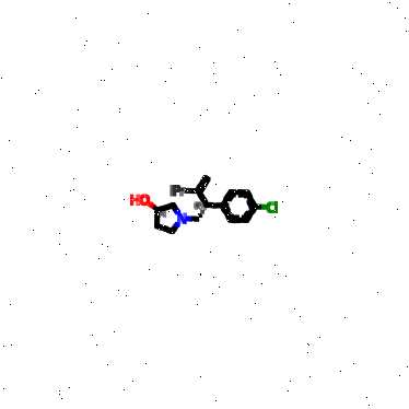 C=C(C(C)C)[C@@H](CN1CC[C@@H](O)C1)c1ccc(Cl)cc1